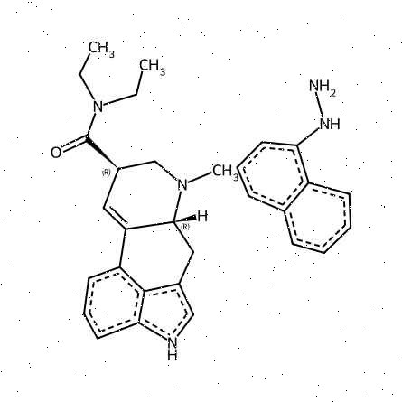 CCN(CC)C(=O)[C@@H]1C=C2c3cccc4[nH]cc(c34)C[C@H]2N(C)C1.NNc1cccc2ccccc12